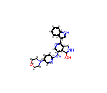 OC1NCc2c(-c3c[nH]c4ccccc34)ncc(Nc3ccc(N4CCOCC4)cn3)c21